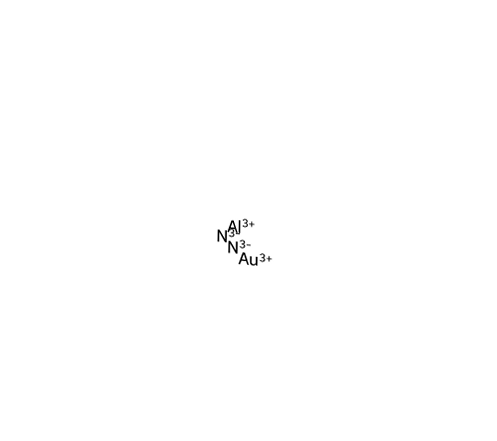 [Al+3].[Au+3].[N-3].[N-3]